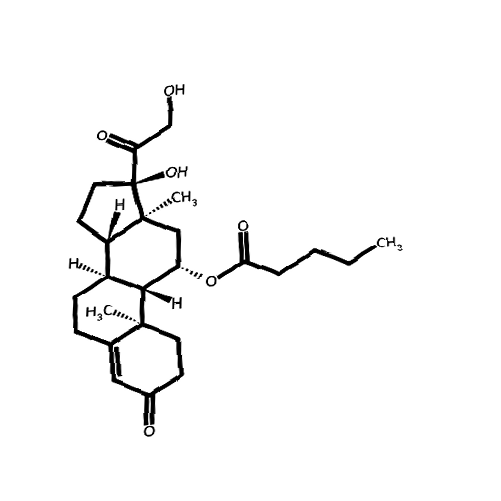 CCCCC(=O)O[C@H]1C[C@@]2(C)[C@@H](CC[C@]2(O)C(=O)CO)[C@@H]2CCC3=CC(=O)CC[C@]3(C)[C@H]21